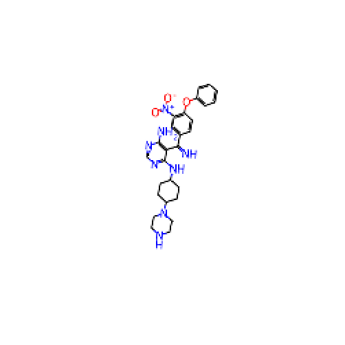 N=C(c1ccc(Oc2ccccc2)c([N+](=O)[O-])c1)c1c(N)ncnc1NC1CCC(N2CCNCC2)CC1